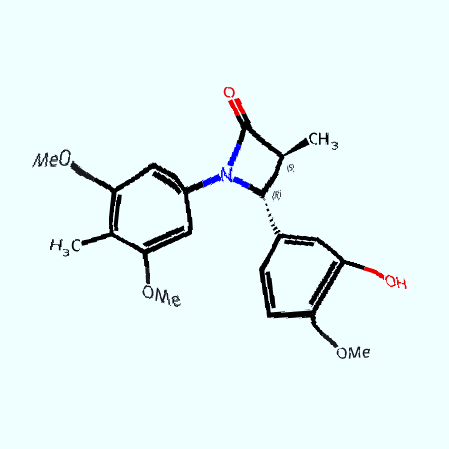 COc1ccc([C@H]2[C@H](C)C(=O)N2c2cc(OC)c(C)c(OC)c2)cc1O